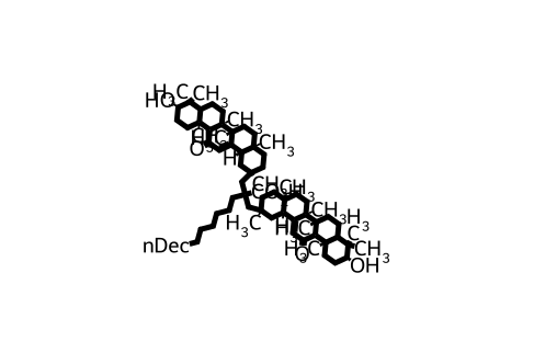 CCCCCCCCCCCCCCCCC(C[C@@]1(C)CC[C@]2(C)CC[C@]3(C)C(=CC(=O)C4[C@@]5(C)CC[C@H](O)C(C)(C)C5CC[C@]43C)[C@H]2C1)(C[C@@]1(C)CC[C@]2(C)CC[C@]3(C)C(=CC(=O)C4[C@@]5(C)CC[C@H](O)C(C)(C)C5CC[C@]43C)[C@H]2C1)C(=O)O